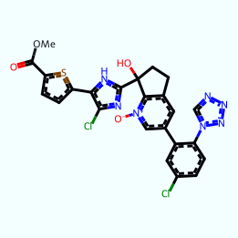 COC(=O)c1ccc(-c2[nH]c(C3(O)CCc4cc(-c5cc(Cl)ccc5-n5cnnn5)c[n+]([O-])c43)nc2Cl)s1